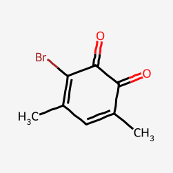 CC1=CC(C)=C(Br)C(=O)C1=O